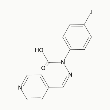 O=C(O)N(/N=C\c1ccncc1)c1ccc(I)cc1